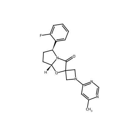 Cc1cc(N2CC3(C2)O[C@@H]2CC[C@@H](c4ccccc4F)N2C3=O)ncn1